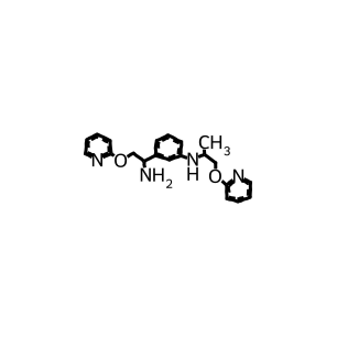 CC(COc1ccccn1)Nc1cccc(C(N)COc2ccccn2)c1